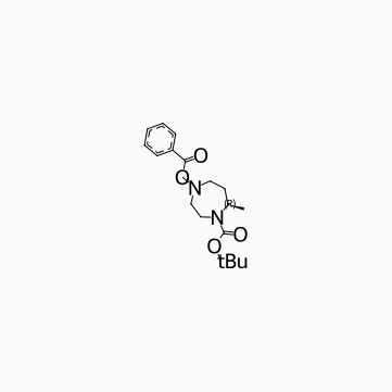 C[C@@H]1CCN(OC(=O)c2ccccc2)CCN1C(=O)OC(C)(C)C